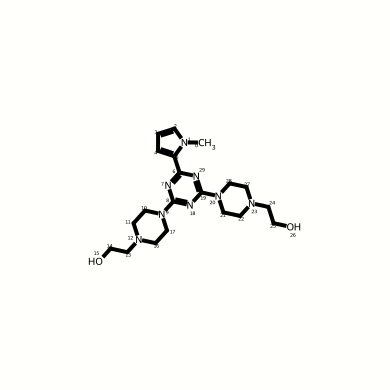 Cn1cccc1-c1nc(N2CCN(CCO)CC2)nc(N2CCN(CCO)CC2)n1